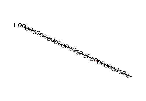 CCCOCCOCCOCCOCCOCCOCCOCCOCCOCCOCCOCCOCCOCCOCCOCCOCCOCCOCCOCCOCCOCCOCCOCCOCCOCCOCCOCCOCCOCCOCCO